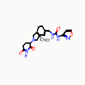 O=CC12CC(CNC(=O)Nc3ccon3)CCC1CN(C1CCC(=O)NC1=O)C2